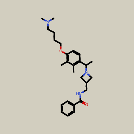 Cc1c(OCCCCN(C)C)ccc(C(C)N2CC(CNC(=O)c3ccccc3)C2)c1C